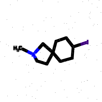 CN1CCC2(CCC(I)CC2)C1